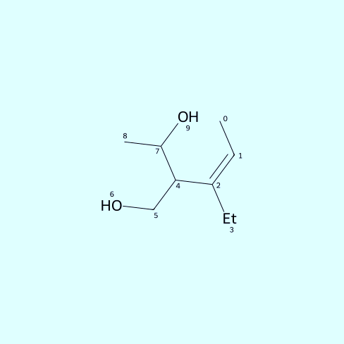 C/C=C(/CC)C(CO)C(C)O